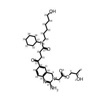 CC(O)COC(=O)CN1Cc2cc(C(=O)CCC(=O)N(CCCCCCO)C3CCCCC3)ccc2N=C1N